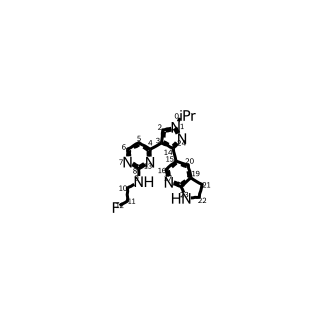 CC(C)n1cc(-c2ccnc(NCCF)n2)c(-c2cnc3c(c2)CCN3)n1